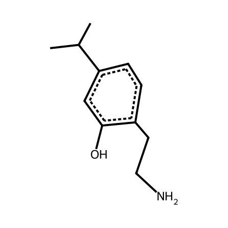 CC(C)c1ccc(CCN)c(O)c1